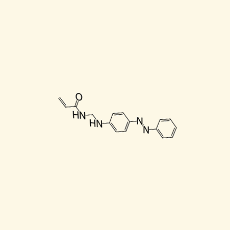 C=CC(=O)NCNc1ccc(/N=N/c2ccccc2)cc1